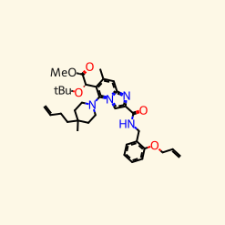 C=CCCC1(C)CCN(c2c([C@H](OC(C)(C)C)C(=O)OC)c(C)cc3nc(C(=O)NCc4ccccc4OCC=C)cn23)CC1